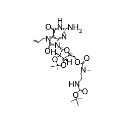 C=CCn1c(=O)n([C@H]2O[C@@H](COC(=O)N(C)CCNC(=O)OC(C)(C)C)[C@@H]3OC(C)(C)O[C@@H]32)c2nc(N)[nH]c(=O)c21